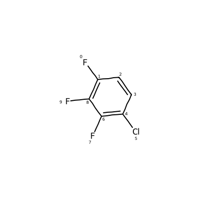 Fc1ccc(Cl)c(F)c1F